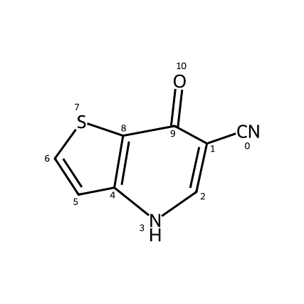 N#Cc1c[nH]c2ccsc2c1=O